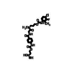 Cc1c(NC(=O)OCCCN(C)C(=O)CNC(=O)c2ccc(NC(=O)OCCP(O)O)cc2)ccc(Cl)c1F